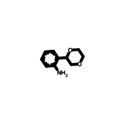 Nc1ccccc1C1COCCO1